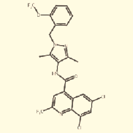 Cc1nn(Cc2ccccc2OC(F)(F)F)c(C)c1NC(=O)c1cc(C(F)(F)F)nc2c(Cl)cc(Cl)cc12